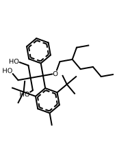 CCCCC(CC)COC(c1ccccc1)(c1c(C(C)(C)C)cc(C)cc1C(C)(C)C)C(CO)(CO)CO